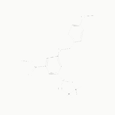 COC(=O)c1cc(SCc2ccc(OC)cc2)cc(B2OC(C)(C)C(C)(C)O2)c1